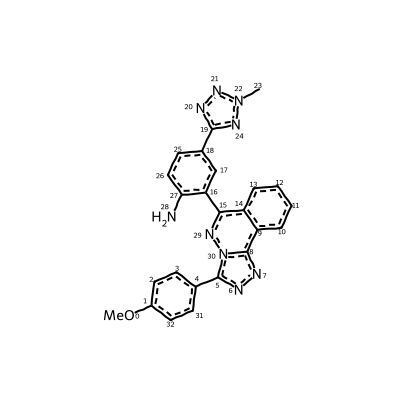 COc1ccc(-c2nnc3c4ccccc4c(-c4cc(-c5nnn(C)n5)ccc4N)nn23)cc1